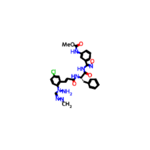 C=N/N=C\N(N)c1ccc(Cl)cc1/C=C/C(=O)N[C@@H](Cc1ccccc1)C(=O)Nc1noc2ccc(NC(=O)OC)cc12